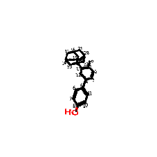 Cc1ccc(-c2ccc(O)cc2)cc1C12CC3CC(CC(C3)C1)C2